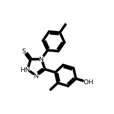 Cc1ccc(-n2c(-c3ccc(O)cc3C)n[nH]c2=S)cc1